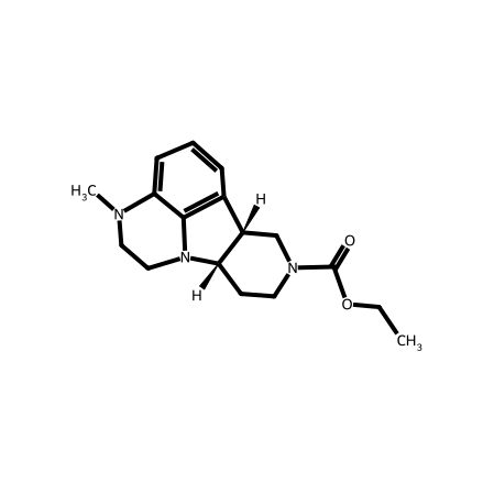 CCOC(=O)N1CC[C@H]2[C@@H](C1)c1cccc3c1N2CCN3C